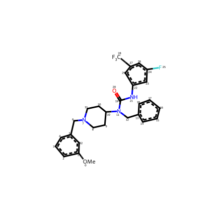 COc1cccc(CN2CCC(N(Cc3ccccc3)C(=O)Nc3cc(F)cc(C(F)(F)F)c3)CC2)c1